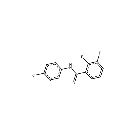 O=C(Nc1ccc(Cl)nc1)c1cccc(F)c1F